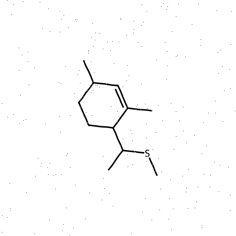 CSC(C)C1CCC(C)C=C1C